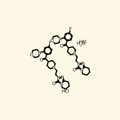 Cl.Cl.O.O=C(c1ccc(F)cc1N1CCOCC1)C1CCN(CCn2nc3n(c2=O)CCCC3)CC1.O=C(c1ccc(F)cc1N1CCOCC1)C1CCN(CCn2nc3n(c2=O)CCCC3)CC1